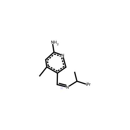 Cc1cc(N)ncc1/C=N\C(C)C(C)C